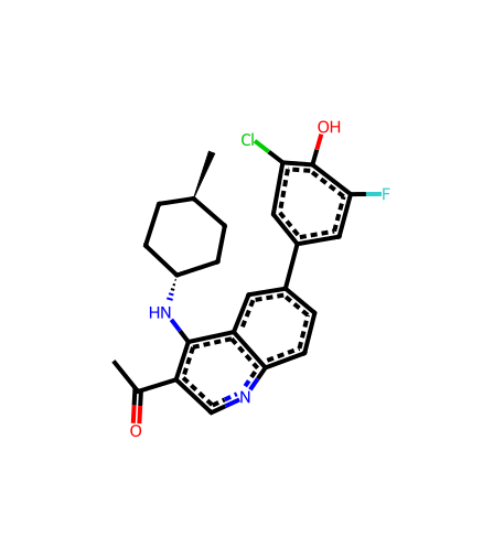 CC(=O)c1cnc2ccc(-c3cc(F)c(O)c(Cl)c3)cc2c1N[C@H]1CC[C@H](C)CC1